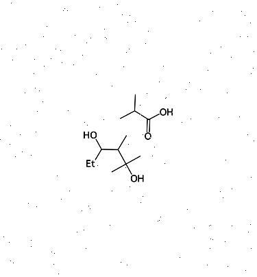 CC(C)C(=O)O.CCC(O)C(C)C(C)(C)O